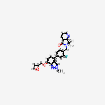 [2H]C1([2H])c2ncccc2C(=O)N1Cc1ccc(-c2ccc(OCC3CCO3)c3nn(C)cc23)cc1F